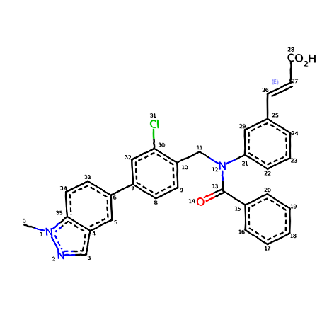 Cn1ncc2cc(-c3ccc(CN(C(=O)c4ccccc4)c4cccc(/C=C/C(=O)O)c4)c(Cl)c3)ccc21